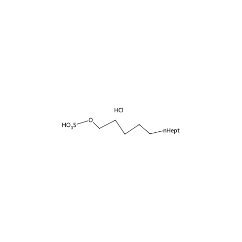 CCCCCCCCCCCCOS(=O)(=O)O.Cl